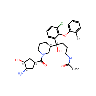 CCc1ccccc1Oc1c(Cl)cccc1[C@](O)(CCCNC(=O)OC)[C@@H]1CCCN(C(=O)[C@H]2C[C@@H](N)[C@@H](O)C2)C1